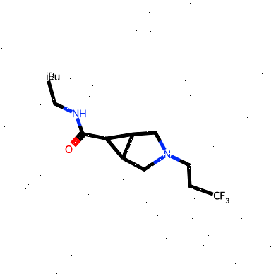 CCC(C)CNC(=O)C1C2CN(CCC(F)(F)F)CC21